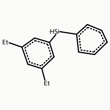 CCc1cc(CC)cc([SiH]c2ccccc2)c1